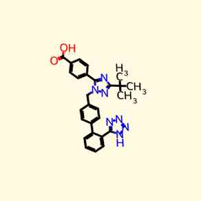 CC(C)(C)c1nc(-c2ccc(C(=O)O)cc2)n(Cc2ccc(-c3ccccc3-c3nnn[nH]3)cc2)n1